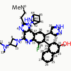 CNCCc1nc2c(N3CC(N(C)C)C3)nc3c(F)c(-c4cc(O)cc5ccccc45)c(-c4cn[nH]c4)cc3c2n1C1C2CNC1C2